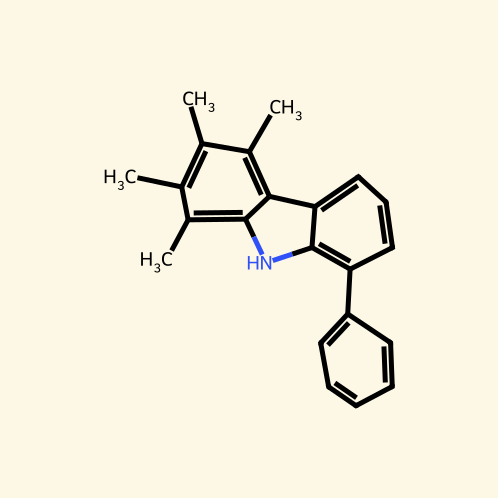 Cc1c(C)c(C)c2c([nH]c3c(-c4ccccc4)cccc32)c1C